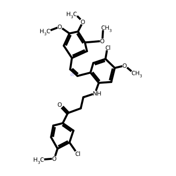 COc1ccc(C(=O)CCNc2cc(OC)c(Cl)cc2/C=C\c2cc(OC)c(OC)c(OC)c2)cc1Cl